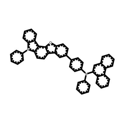 c1ccc(N(c2ccc(-c3ccc4oc5c(ccc6c5c5ccccc5n6-c5ccccc5)c4c3)cc2)c2cc3ccccc3c3ccccc23)cc1